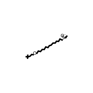 CC[S+]([O-])CCCCCCCCCCCCCCCOCCCC(C)(C)C